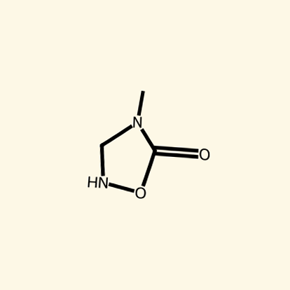 CN1CNOC1=O